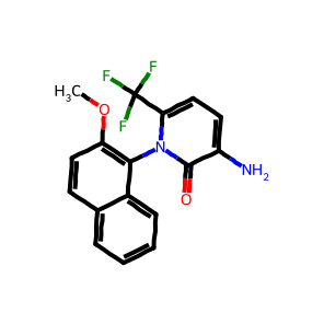 COc1ccc2ccccc2c1-n1c(C(F)(F)F)ccc(N)c1=O